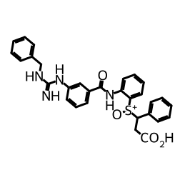 N=C(NCc1ccccc1)Nc1cccc(C(=O)Nc2ccccc2[S+]([O-])C(CC(=O)O)c2ccccc2)c1